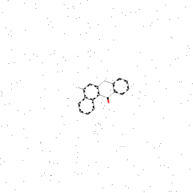 O=C1c2ccccc2Cc2cc([N+](=O)[O-])c3ccccc3c21